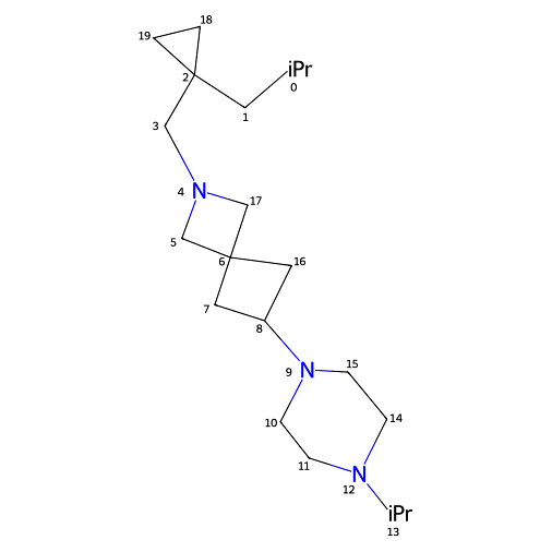 CC(C)CC1(CN2CC3(CC(N4CCN(C(C)C)CC4)C3)C2)CC1